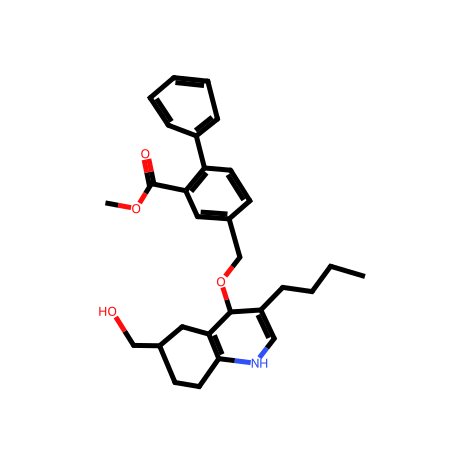 CCCCC1=CNC2=C(CC(CO)CC2)C1OCc1ccc(-c2ccccc2)c(C(=O)OC)c1